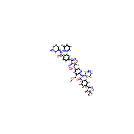 COCc1cc(CC2(C)ON=C(c3ccc(C(=O)N(c4ncccc4C)C4CCCNC4)cc3)/C2=N/O)cnc1N(C(=O)c1ccc(C2=NOC(C)(C)C2=O)cc1)C1CCCNC1